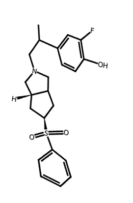 CC(CN1CC2C[C@@H](S(=O)(=O)c3ccccc3)C[C@@H]2C1)c1ccc(O)c(F)c1